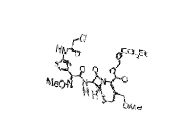 CCOC(=O)OCOC(=O)C1=C(COC)CS[C@H]2C(NC(=O)C(=NOC)c3csc(NC(=O)CCl)n3)C(=O)N12